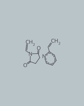 C=CN1C(=O)CCC1=O.C=Cc1ccccn1